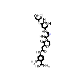 Bc1cc(NC(=O)CC2OCCN(C(=N)/C=C\NC3=CNNC(OC(CO)CCl)=C3)C2=O)ccc1C(=N)N